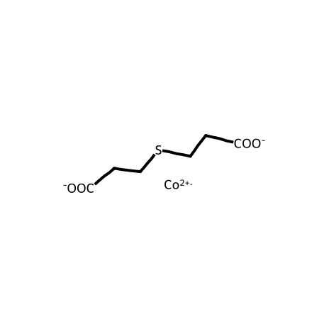 O=C([O-])CCSCCC(=O)[O-].[Co+2]